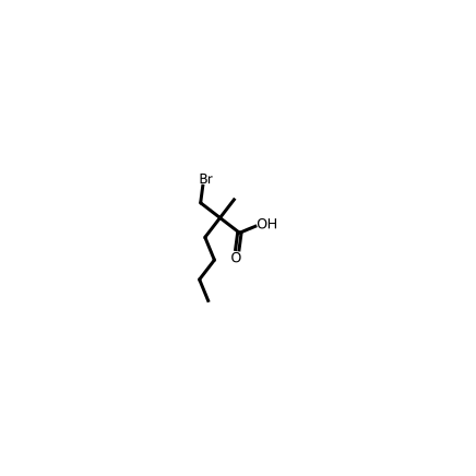 CCCCC(C)(CBr)C(=O)O